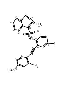 Cc1cc(C(=O)O)ncc1C#Cc1cc(F)ccc1NS(=O)(=O)c1c(C)ccc2cccnc12